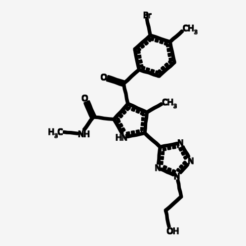 CNC(=O)c1[nH]c(-c2nnn(CCO)n2)c(C)c1C(=O)c1ccc(C)c(Br)c1